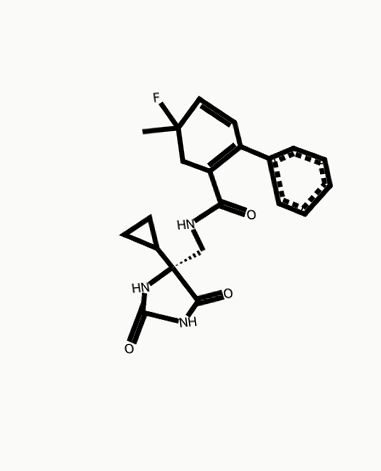 CC1(F)C=CC(c2ccccc2)=C(C(=O)NC[C@@]2(C3CC3)NC(=O)NC2=O)C1